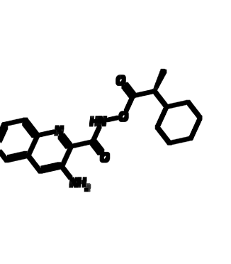 C[C@H](C(=O)ONC(=O)c1nc2ccccc2cc1N)C1CCCCC1